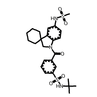 CC(C)(C)NS(=O)(=O)c1cccc(C(=O)N2CC3(CCCCC3)c3cc(NS(C)(=O)=O)ccc32)c1